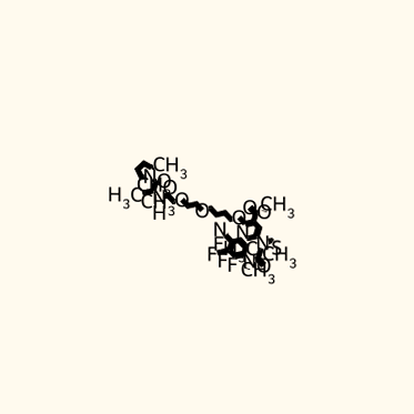 COC(=O)c1cc(N(C=S)C(C)(C)C(=O)N(C)c2ccc(C#N)c(C(F)(F)F)c2F)cnc1OCCCCOCCOCC(=O)NC(C(=O)N1CCCC1C)C(C)(C)C